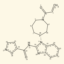 C=CC(=O)N1CCC[C@@H](n2c(NC(=O)c3ccno3)nc3ccccc32)CC1